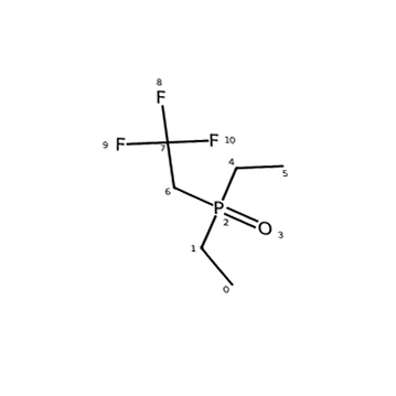 CCP(=O)(CC)CC(F)(F)F